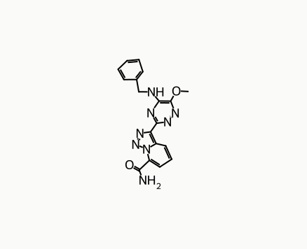 COc1nnc(-c2nnn3c(C(N)=O)cccc23)nc1NCc1ccccc1